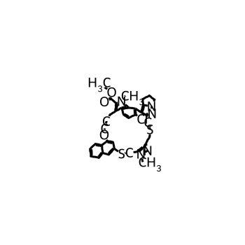 CCOC(=O)c1c2c3ccc(Cl)c(c3n1C)-c1c(nn3c1CCC3)CSCc1cc(n(C)n1)CSc1cc(c3ccccc3c1)OCCC2